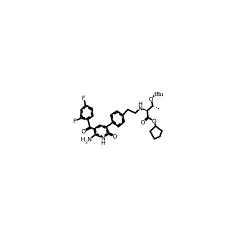 C[C@@H](OC(C)(C)C)[C@H](NCCc1ccc(-c2cc(C(=O)c3ccc(F)cc3F)c(N)[nH]c2=O)cc1)C(=O)OC1CCCC1